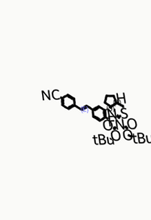 CC(C)(C)OC(=O)N(C(=O)OC(C)(C)C)C1=N[C@@]2(c3cc(/C=C/c4ccc(C#N)cc4)ccc3F)CCC[C@H]2CS1